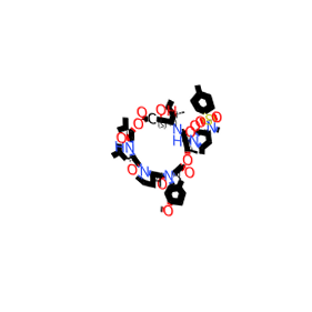 CC[C@H](C)[C@H]1NC(=O)[C@@H](N2C(=O)[C@H](N(C)S(=O)(=O)c3ccc(C)cc3)CC2C)[C@@H](C)OC(=O)[C@H](Cc2ccc(OC)cc2)N(C)C(=O)[C@@H]2CCCN2C(=O)[C@H](CC(C)C)NC(=O)[C@H](C(C)C)OC(=O)C[C@@H]1O